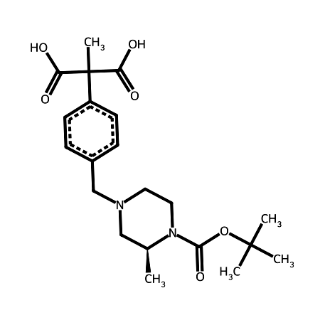 C[C@H]1CN(Cc2ccc(C(C)(C(=O)O)C(=O)O)cc2)CCN1C(=O)OC(C)(C)C